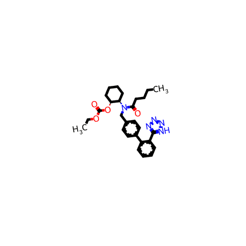 CCCCC(=O)N(Cc1ccc(-c2ccccc2-c2nnn[nH]2)cc1)[C@H]1CCCC[C@H]1OC(=O)OCC